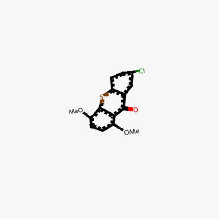 COc1ccc(OC)c2c(=O)c3cc(Cl)ccc3sc12